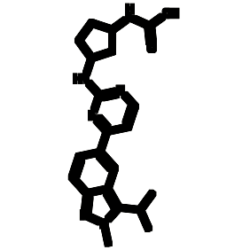 CC(C)c1c2cc(-c3ccnc(NC4CCC(NC(=O)O)C4)n3)ccc2nn1C